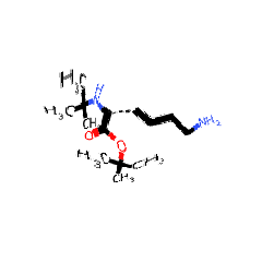 CC(C)(C)N[C@H](CCCCN)C(=O)OC(C)(C)C